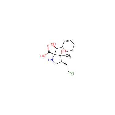 C[C@]1(O)[C@@H](CCCl)CN[C@]1(C(=O)O)[C@@H](O)[C@@H]1C=CCCC1